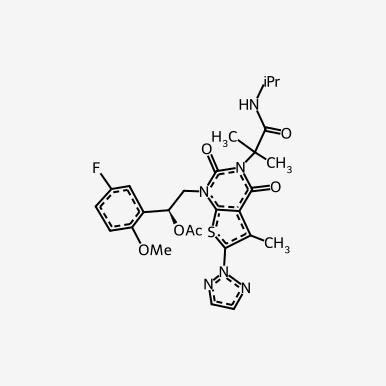 COc1ccc(F)cc1[C@@H](Cn1c(=O)n(C(C)(C)C(=O)NC(C)C)c(=O)c2c(C)c(-n3nccn3)sc21)OC(C)=O